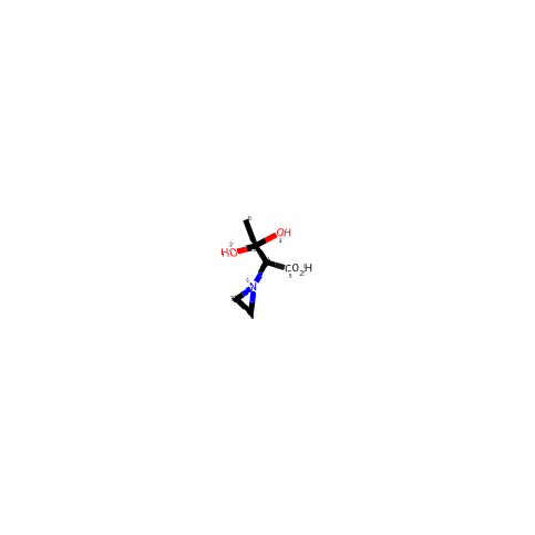 CC(O)(O)C(C(=O)O)N1CC1